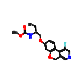 CC(C)C[C@@H](COc1ccc2c(c1)OCc1cncc(F)c1-2)NC(=O)OC(C)(C)C